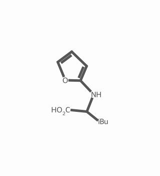 CCC(C)C(Nc1ccco1)C(=O)O